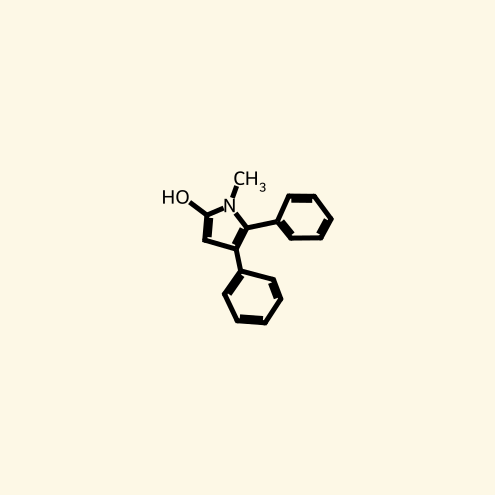 Cn1c(O)cc(-c2ccccc2)c1-c1ccccc1